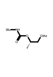 COC[C@H](C)OC(=O)NC(C)(C)C